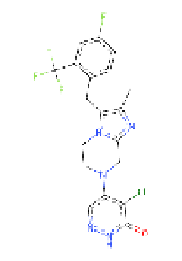 Cc1nc2n(c1Cc1ccc(F)cc1C(F)(F)F)CCN(c1cn[nH]c(=O)c1Cl)C2